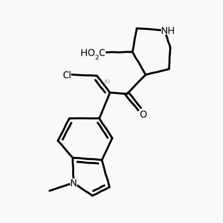 Cn1ccc2cc(/C(=C\Cl)C(=O)C3CCNCC3C(=O)O)ccc21